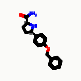 NC(=O)[C@H]1CC[C@@H](c2ccc(OCc3ccccc3)cc2)N1